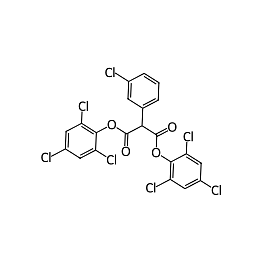 O=C(Oc1c(Cl)cc(Cl)cc1Cl)C(C(=O)Oc1c(Cl)cc(Cl)cc1Cl)c1cccc(Cl)c1